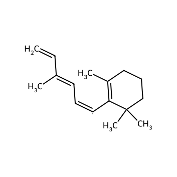 C=C/C(C)=C/C=[C]\C1=C(C)CCCC1(C)C